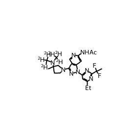 [2H]C([2H])([2H])N(C([2H])([2H])[2H])C1(C)CCN(c2nn(-c3cc(CC)nc(C(C)(F)F)n3)c3cc(NC(C)=O)ncc23)C1